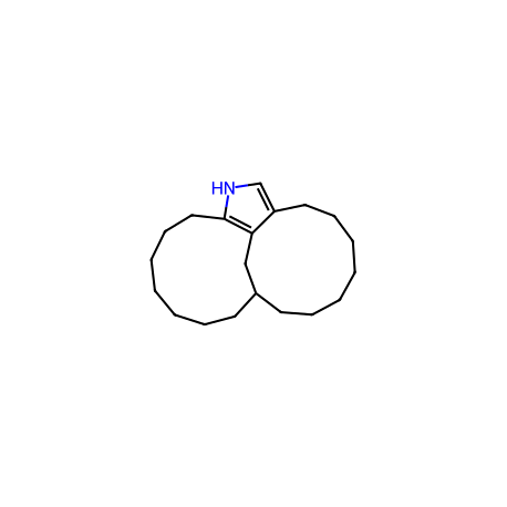 c1[nH]c2c3c1CCCCCCCC(CCCCCCC2)C3